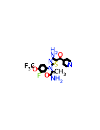 C[C@H](C(N)=O)N(c1ccc(OC(F)(F)F)c(F)c1)c1nc(N)c(C(=O)c2ccncc2)s1